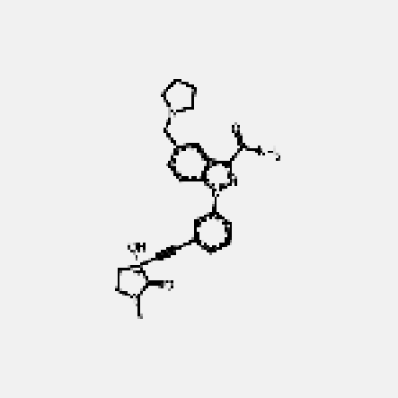 CN1CC[C@@](O)(C#Cc2cccc(-n3nc(C(N)=O)c4cc(CN5CCCC5)ccc43)c2)C1=O